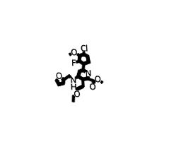 CCOC=Cc1c(NCc2ccco2)cc(-c2ccc(Cl)c(OC)c2F)nc1C(=O)OC